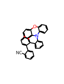 N#Cc1ccccc1-c1ccccc1-c1ccccc1N1c2ccccc2Oc2ccccc21